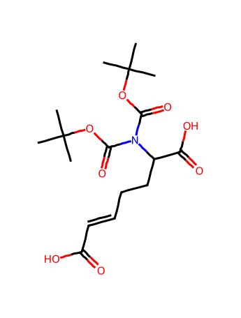 CC(C)(C)OC(=O)N(C(=O)OC(C)(C)C)C(CC/C=C/C(=O)O)C(=O)O